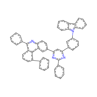 c1ccc(-c2nc(-c3cccc(-n4c5ccccc5c5ccccc54)c3)cc(-c3ccc4nc(-c5ccccc5)c5cccc(-c6ccccc6)c5c4c3)n2)cc1